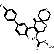 Cc1ccc(-c2ccc(Cl)cc2)cc1C1=C(OC(=O)OC(C)(C)C)COC2(CCOCC2)C1=O